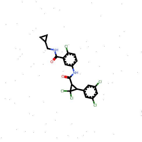 O=C(NCC1CC1)c1cc(NC(=O)C2C(c3cc(Cl)cc(Cl)c3)C2(Cl)Cl)ccc1Cl